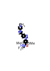 COc1cc(-n2cnc3cc(-c4cnn(C5CCN(C)CC5)c4)ccc32)cc(OC)c1C(=O)NCC(F)(F)F